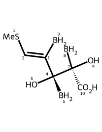 B/C(=C\SC)[C@@](B)(O)[C@@](B)(O)C(=O)O